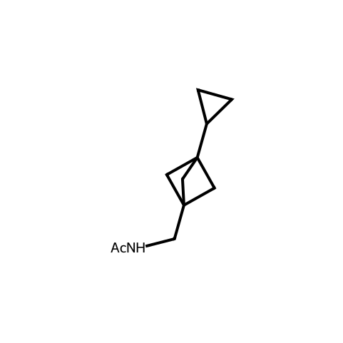 CC(=O)NCC12CC(C3CC3)(C1)C2